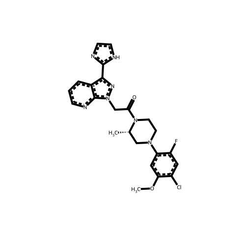 COc1cc(N2CCN(C(=O)Cn3nc(-c4ncc[nH]4)c4cccnc43)[C@@H](C)C2)c(F)cc1Cl